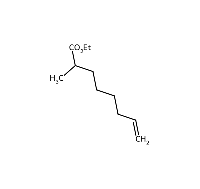 C=CCCCCC(C)C(=O)OCC